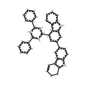 C1=Cc2c(oc3ccc(-c4cc(-c5nc(-c6ccccc6)nc(-c6ccccc6)n5)c5c(c4)oc4ccccc45)cc23)CC1